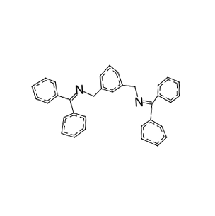 c1ccc(C(=NCc2cccc(CN=C(c3ccccc3)c3ccccc3)c2)c2ccccc2)cc1